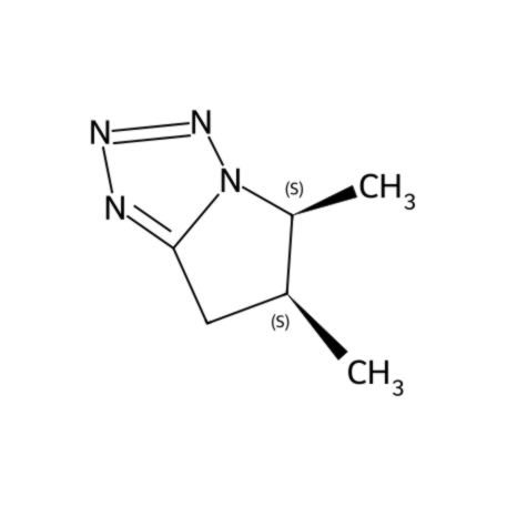 C[C@H]1Cc2nnnn2[C@H]1C